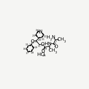 CC(N)C(=O)NC(C)C(=O)OCC(Oc1ccccc1)c1ccncc1.Cl